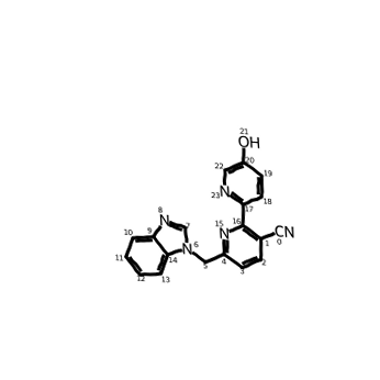 N#Cc1ccc(Cn2cnc3ccccc32)nc1-c1ccc(O)cn1